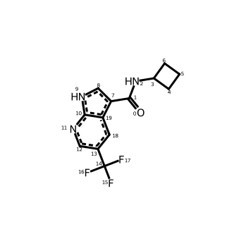 O=C(NC1CCC1)c1c[nH]c2ncc(C(F)(F)F)cc12